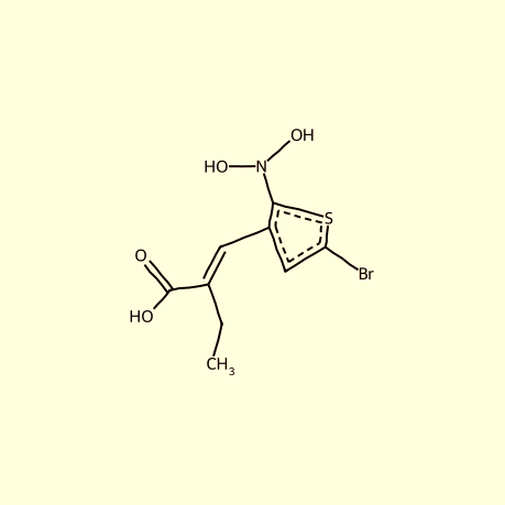 CCC(=Cc1cc(Br)sc1N(O)O)C(=O)O